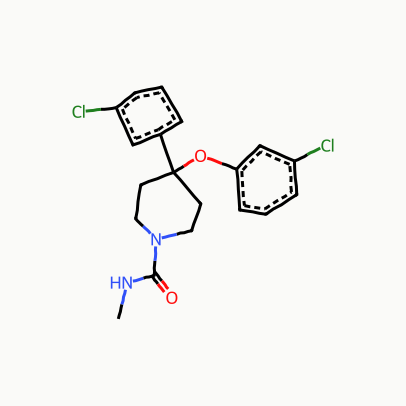 CNC(=O)N1CCC(Oc2cccc(Cl)c2)(c2cccc(Cl)c2)CC1